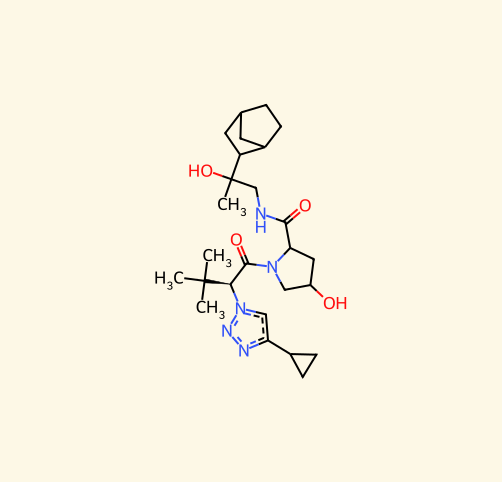 CC(O)(CNC(=O)C1CC(O)CN1C(=O)[C@@H](n1cc(C2CC2)nn1)C(C)(C)C)C1CC2CCC1C2